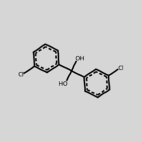 OC(O)(c1cccc(Cl)c1)c1cccc(Cl)c1